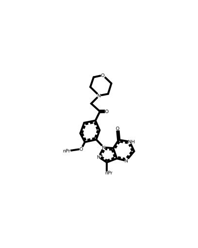 CCCOc1ccc(C(=O)CN2CCOCC2)cc1-n1nc(CCC)c2nc[nH]c(=O)c21